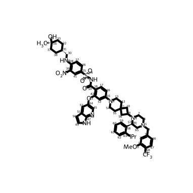 COc1cc(CN2CCN(C3CC4(CCN(c5ccc(C(=O)NS(=O)(=O)c6ccc(NC[C@H]7CC[C@](C)(O)CC7)c([N+](=O)[O-])c6)c(Oc6cnc7[nH]ccc7c6)c5)CC4)C3)[C@H](c3ccccc3C(C)C)C2)ccc1C(F)(F)F